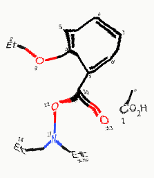 CC(=O)O.CCOc1ccccc1C(=O)ON(CC)CC